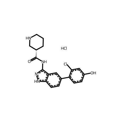 Cl.O=C(Nc1n[nH]c2ccc(-c3ccc(O)cc3Cl)cc12)[C@H]1CCCNC1